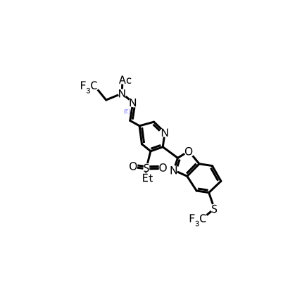 CCS(=O)(=O)c1cc(/C=N/N(CC(F)(F)F)C(C)=O)cnc1-c1nc2cc(SC(F)(F)F)ccc2o1